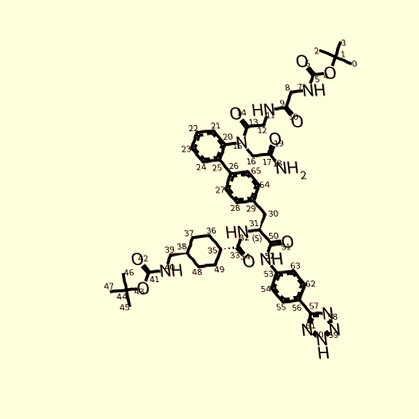 CC(C)(C)OC(=O)NCC(=O)NCC(=O)N(CC(N)=O)c1ccccc1-c1ccc(C[C@H](NC(=O)[C@H]2CC[C@H](CNC(=O)OC(C)(C)C)CC2)C(=O)Nc2ccc(-c3nn[nH]n3)cc2)cc1